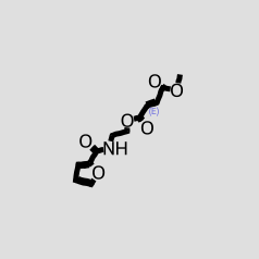 COC(=O)/C=C/C(=O)OCCNC(=O)c1ccco1